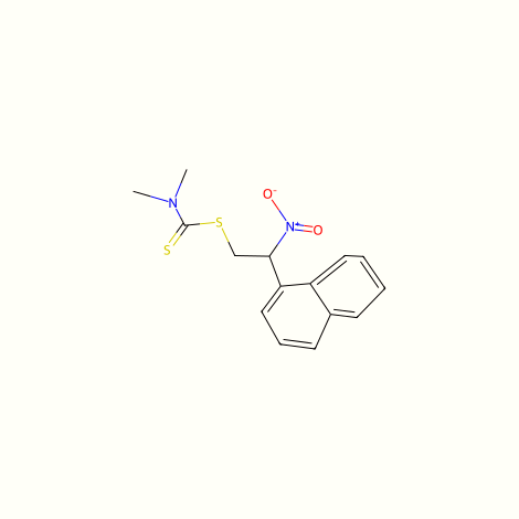 CN(C)C(=S)SCC(c1cccc2ccccc12)[N+](=O)[O-]